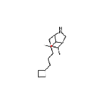 CC1CCC2NCC1C2C(C)CCCC1CCC1